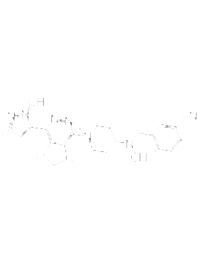 CN(Cc1cccc(C#N)c1)C1CCN(c2nnc(-c3ccnn3C)c3c2CCC3)CC1